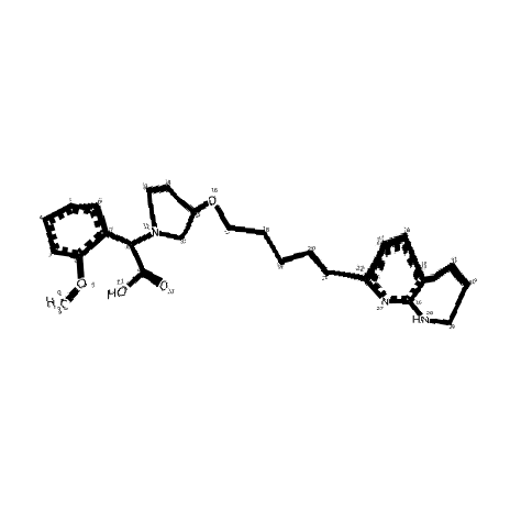 COc1ccccc1C(C(=O)O)N1CCC(OCCCCCc2ccc3c(n2)NCCC3)C1